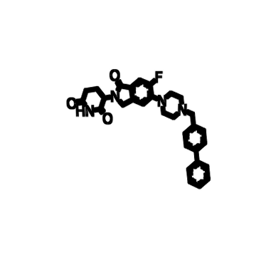 O=C1CCC(N2Cc3cc(N4CCN(Cc5ccc(-c6ccccc6)cc5)CC4)c(F)cc3C2=O)C(=O)N1